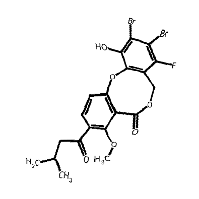 COc1c(C(=O)CC(C)C)ccc2c1C(=O)OCc1c(F)c(Br)c(Br)c(O)c1O2